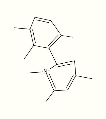 Cc1cc(C)[n+](C)c(-c2c(C)ccc(C)c2C)c1